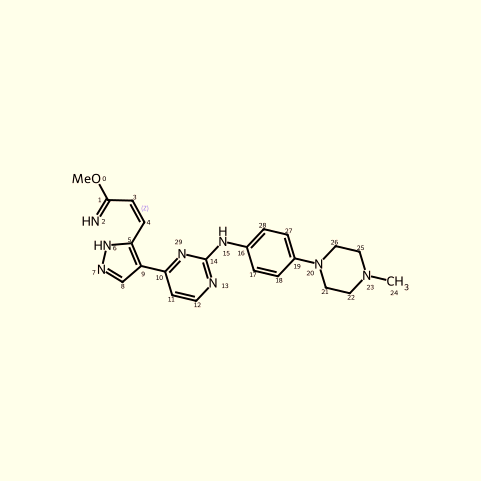 COC(=N)/C=C\c1[nH]ncc1-c1ccnc(Nc2ccc(N3CCN(C)CC3)cc2)n1